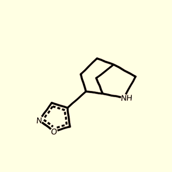 c1nocc1C1CCC2CNC1C2